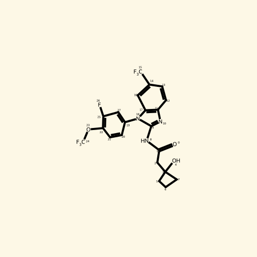 O=C(CC1(O)CCC1)Nc1nc2ccc(C(F)(F)F)cc2n1-c1ccc(OC(F)(F)F)c(F)c1